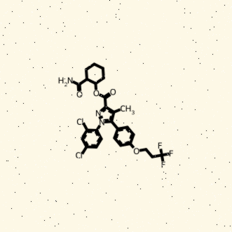 Cc1c(C(=O)OC2CCCCC2C(N)=O)nn(-c2ccc(Cl)cc2Cl)c1-c1ccc(OCCC(F)(F)F)cc1